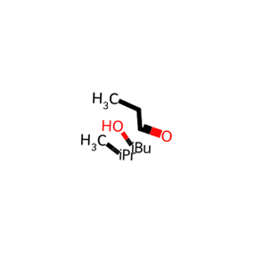 CC(C)C.CCC(C)O.CCC=O